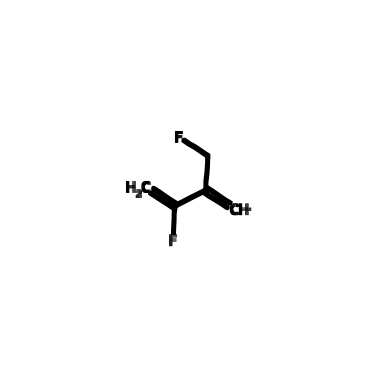 [CH]=C(CF)C(=C)F